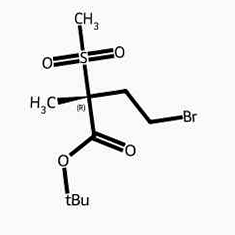 CC(C)(C)OC(=O)[C@@](C)(CCBr)S(C)(=O)=O